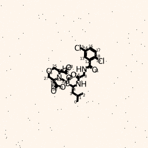 CC(C)CC(NC(=O)CNC(=O)c1cc(Cl)ccc1Cl)B1OC(=O)[C@H]2COC[C@@H](C(=O)O1)N2C